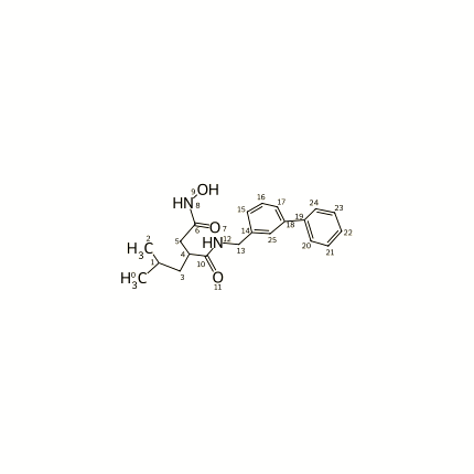 CC(C)CC(CC(=O)NO)C(=O)NCc1cccc(-c2ccccc2)c1